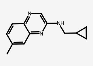 Cc1ccc2ncc(NCC3CC3)nc2c1